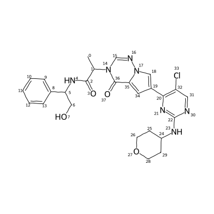 CC(C(=O)NC(CO)c1ccccc1)n1cnn2cc(-c3nc(NC4CCOCC4)ncc3Cl)cc2c1=O